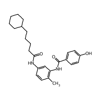 Cc1ccc(NC(=O)CCCCC2CCCCC2)cc1NC(=O)c1ccc(O)cc1